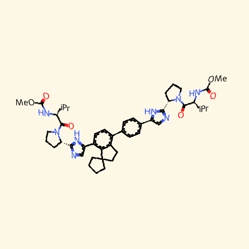 COC(=O)N[C@H](C(=O)N1CCC[C@H]1c1ncc(-c2ccc(-c3ccc(-c4cnc([C@@H]5CCCN5C(=O)[C@@H](NC(=O)OC)C(C)C)[nH]4)c4c3CCC43CCCC3)cc2)[nH]1)C(C)C